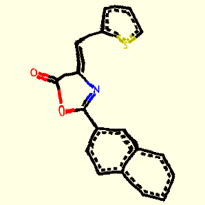 O=C1OC(c2ccc3ccccc3c2)=NC1=Cc1cccs1